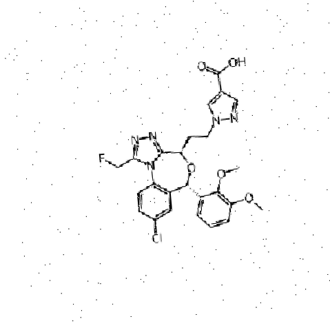 COc1cccc([C@H]2O[C@H](CCn3cc(C(=O)O)cn3)c3nnc(CF)n3-c3ccc(Cl)cc32)c1OC